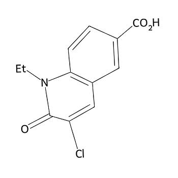 CCn1c(=O)c(Cl)cc2cc(C(=O)O)ccc21